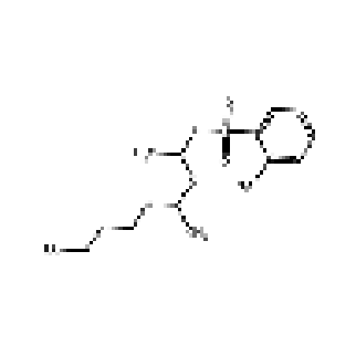 CCCCOC(C)OC(C)OS(=O)(=O)c1ccccc1C